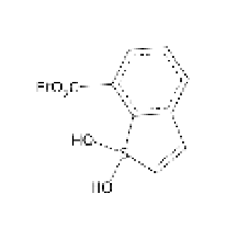 CCOC(=O)c1cccc2c1S(O)(O)C=C2